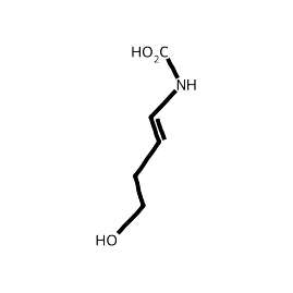 O=C(O)NC=CCCO